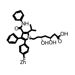 CC(C)c1c(C(=O)Nc2ccccc2)c(-c2ccccc2)c(-c2ccc(F)cc2)n1CC[C@@H](O)C[C@@H](O)CC(=O)O.[Zn]